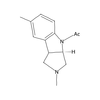 CC(=O)N1c2ccc(C)cc2C2CN(C)C[C@@H]21